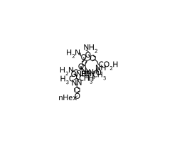 CCCCCCOc1ccc(-c2nc(C)c(C(=O)NC(CCN)C(=O)N(C)C3C(=O)NC(C)C(=O)NC(C(=O)O)Cc4ccc(OCCN)c(c4)-c4cc3ccc4OCCN)c(C)n2)cc1